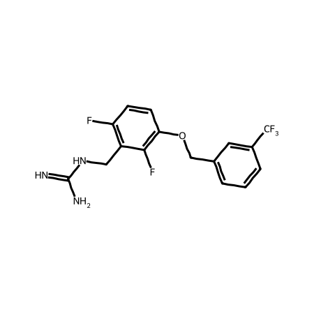 N=C(N)NCc1c(F)ccc(OCc2cccc(C(F)(F)F)c2)c1F